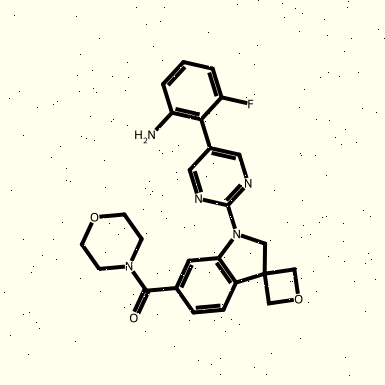 Nc1cccc(F)c1-c1cnc(N2CC3(COC3)c3ccc(C(=O)N4CCOCC4)cc32)nc1